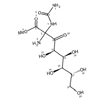 COC(=O)C(N)(NC(N)=O)C(=O)[C@H](O)[C@@H](O)[C@H](O)[C@H](O)CO